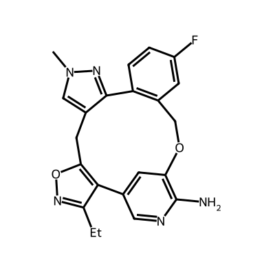 CCc1noc2c1-c1cnc(N)c(c1)OCc1cc(F)ccc1-c1nn(C)cc1C2